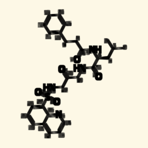 CC(C)C[C@H](NC(=O)CCc1ccccc1)C(=O)NCC(=O)CNS(=O)(=O)c1cccc2cccnc12